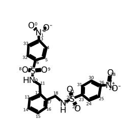 O=[N+]([O-])c1ccc(S(=O)(=O)NCc2ccccc2CNS(=O)(=O)c2ccc([N+](=O)[O-])cc2)cc1